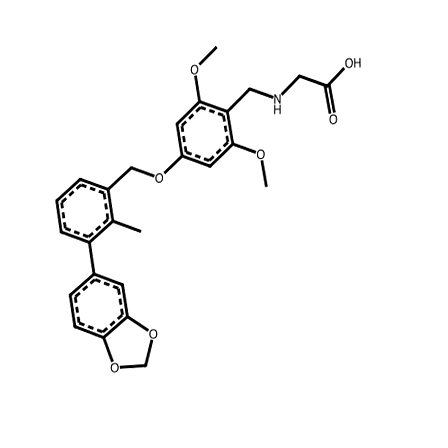 COc1cc(OCc2cccc(-c3ccc4c(c3)OCO4)c2C)cc(OC)c1CNCC(=O)O